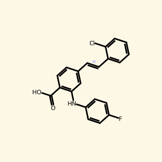 O=C(O)c1ccc(/C=C/c2ccccc2Cl)cc1Nc1ccc(F)cc1